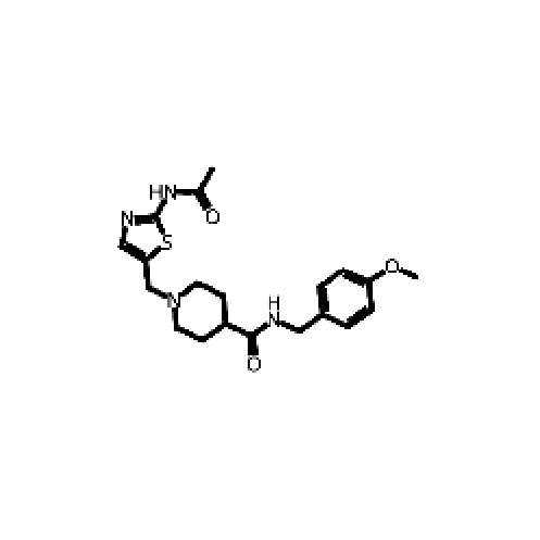 COc1ccc(CNC(=O)C2CCN(Cc3cnc(NC(C)=O)s3)CC2)cc1